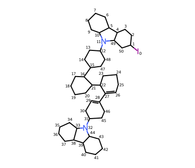 IC1CCC2C3CCCCC3N(C3CCC(C4CCCCC4C4CCCC=C4C4=CCC(N5C6CCCCC6C6CCCCC65)CC4)CC3)C2C1